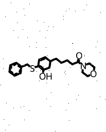 O=C(CCCCC1C=CC(SCc2ccccc2)=C(O)C1)N1CCOCC1